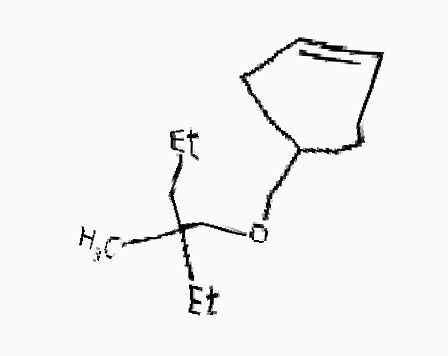 CCC(C)(CC)OC1CC=CC1